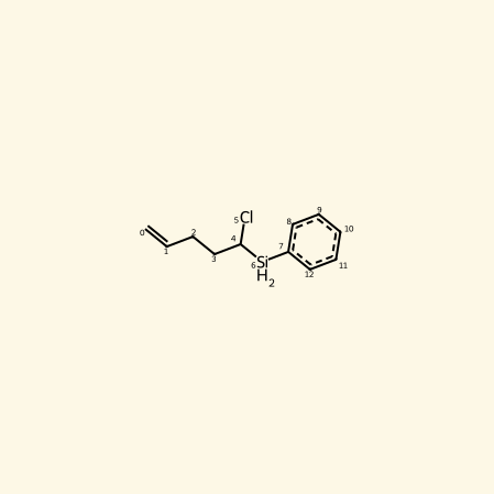 C=CCCC(Cl)[SiH2]c1ccccc1